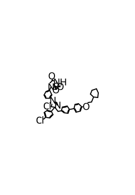 O=C1CN(c2cccc(N3C=NC(Cc4ccc(-c5ccc(OCCC6CCCCC6)cc5)cc4)(c4ccc(Cl)cc4Cl)C3)c2)S(=O)(=O)N1